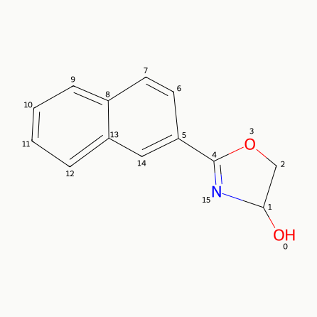 OC1COC(c2ccc3ccccc3c2)=N1